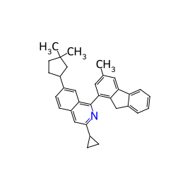 Cc1cc2c(c(-c3nc(C4CC4)cc4ccc(C5CCC(C)(C)C5)cc34)c1)Cc1ccccc1-2